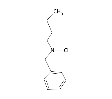 CCCCN(Cl)Cc1ccccc1